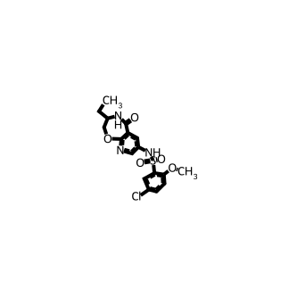 CCC1COc2ncc(NS(=O)(=O)c3cc(Cl)ccc3OC)cc2C(=O)N1